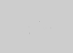 CCOC(=O)C(C(C)CC)C(C)(O)c1ccccc1